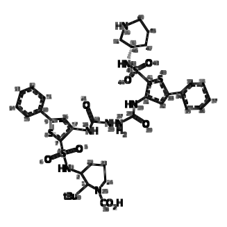 CC(C)(C)C1C(NS(=O)(=O)c2sc(-c3ccccc3)cc2NC(N)=O)CCCN1C(=O)O.NC(=O)Nc1cc(-c2ccccc2)sc1S(=O)(=O)N[C@H]1CCCNC1